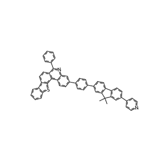 CC1(C)c2cc(-c3ccncc3)ccc2-c2ccc(-c3ccc(-c4ccc5c(c4)nc(-c4ccccc4)c4ccc6c7ccccc7sc6c45)cc3)cc21